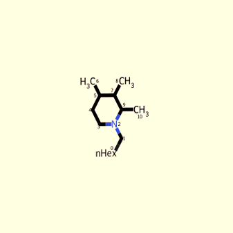 CCCCCCCN1CCC(C)C(C)C1C